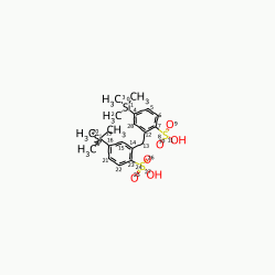 C[Si](C)(C)c1ccc(S(=O)(=O)O)c(Cc2cc([Si](C)(C)C)ccc2S(=O)(=O)O)c1